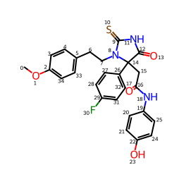 COc1ccc(CCN2C(=S)NC(=O)C2(CC(=O)Nc2ccc(O)cc2)c2ccc(F)cc2)cc1